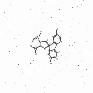 Cc1ccc2c(c1)C(CCN(C)C)(CCN(C)C)c1cc(C)ccc1-2